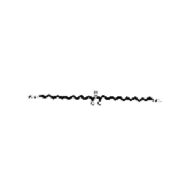 CCCCCCCCC=CCCCCCCCCCCCC(=O)NC(=O)CCCCCCCCCCCC=CCCCCCCCC